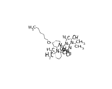 CCCCCCOC1CCN(c2nc(Cl)nc(N(C(C)C)C(C)C)n2)C(N2C(C)(C)CCCC2(C)C)C1